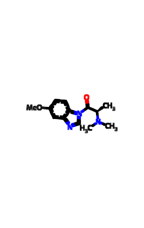 COc1ccc2c(c1)ncn2C(=O)[C@@H](C)N(C)C